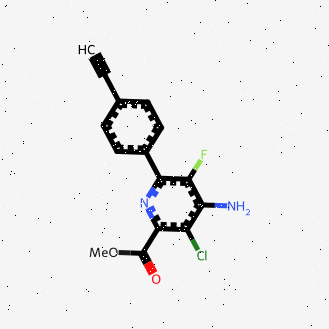 C#Cc1ccc(-c2nc(C(=O)OC)c(Cl)c(N)c2F)cc1